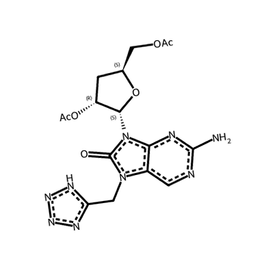 CC(=O)OC[C@@H]1C[C@@H](OC(C)=O)[C@@H](n2c(=O)n(Cc3nnn[nH]3)c3cnc(N)nc32)O1